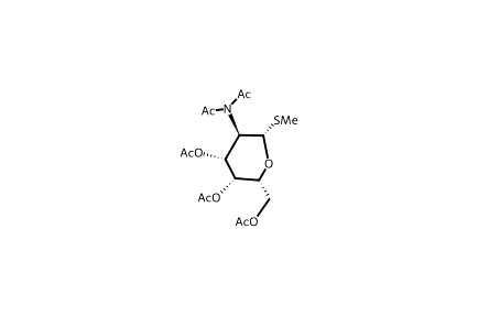 CS[C@@H]1O[C@H](COC(C)=O)[C@H](OC(C)=O)[C@H](OC(C)=O)[C@H]1N(C(C)=O)C(C)=O